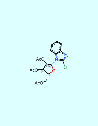 CC(=O)OC[C@H]1O[C@@H](n2c(Cl)nc3ccccc32)[C@H](OC(C)=O)[C@@H]1OC(C)=O